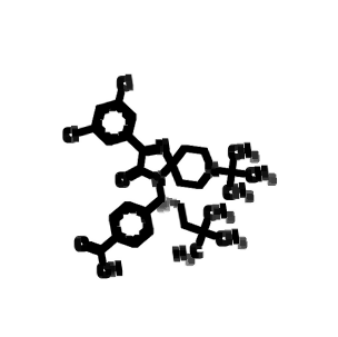 CC(C)(C)CC[C@H](c1ccc(C(=O)O)cc1)N1C(=O)C(c2cc(Cl)cc(Cl)c2)=NC12CCN(C(C)(C)C)CC2